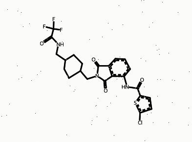 O=C(Nc1cccc2c1C(=O)N(CC1CCC(CNC(=O)C(F)(F)F)CC1)C2=O)c1ccc(Cl)s1